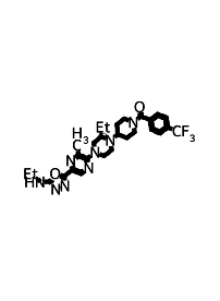 CCNc1nnc(-c2cnc(N3CCN(C4CCN(C(=O)c5ccc(C(F)(F)F)cc5)CC4)[C@@H](CC)C3)c(C)n2)o1